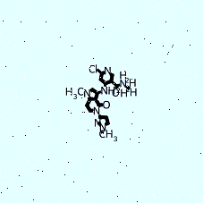 [2H]C([2H])([2H])NC(=O)c1cnc(Cl)cc1Nc1cn(C)c2ccn(-c3ccn(C)n3)c(=O)c12